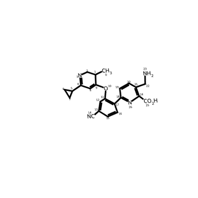 CC1CN=C(C2CC2)C=C1Oc1cc(C#N)ccc1-c1ccc(CN)c(C(=O)O)n1